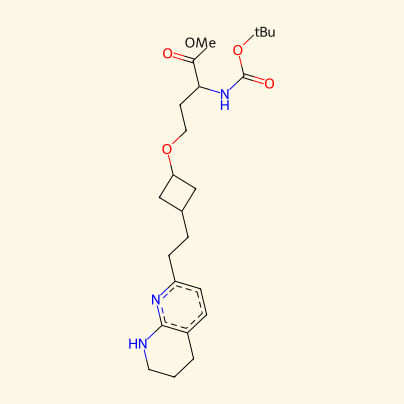 COC(=O)C(CCOC1CC(CCc2ccc3c(n2)NCCC3)C1)NC(=O)OC(C)(C)C